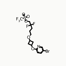 O=S(=O)(OCC(F)(F)CCCOC1CC(Oc2ccc(Br)cn2)C1)C(F)(F)F